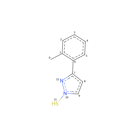 Cc1ccccc1-c1ccn(S)n1